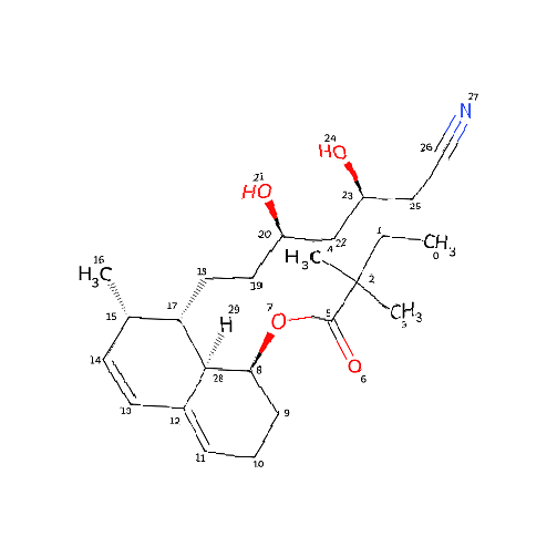 CCC(C)(C)C(=O)O[C@H]1CCC=C2C=C[C@H](C)[C@H](CC[C@@H](O)C[C@@H](O)CC#N)[C@H]21